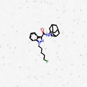 O=C(NC12CC3CC(CC(C3)C1)C2)c1nn(CCCCCF)c2ccccc12